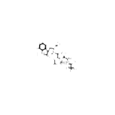 CC(C)C[C@@H](C(=O)N1C[C@]2(C[C@H]1C#N)C(=O)Nc1ccccc12)N(C)C(=O)[C@H](C)NC(=O)C(F)(F)F